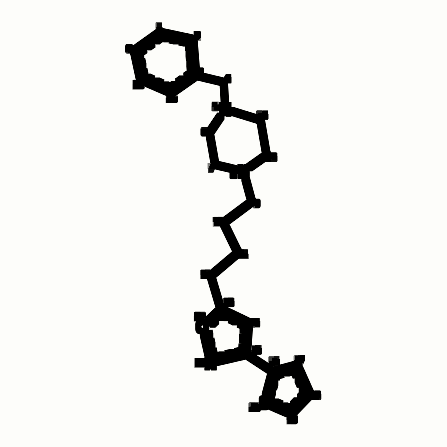 c1ccc(CN2CCN(CCCCc3cc(-c4cccs4)no3)CC2)cc1